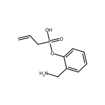 C=CCP(=O)(O)Oc1ccccc1CN